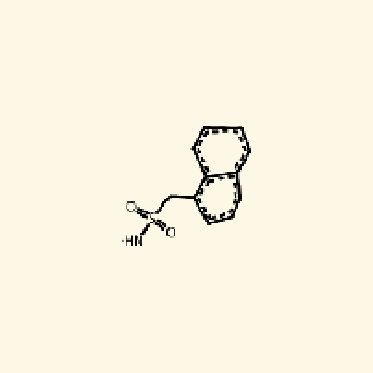 [NH]S(=O)(=O)Cc1cccc2ccccc12